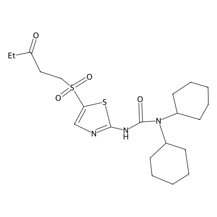 CCC(=O)CCS(=O)(=O)c1cnc(NC(=O)N(C2CCCCC2)C2CCCCC2)s1